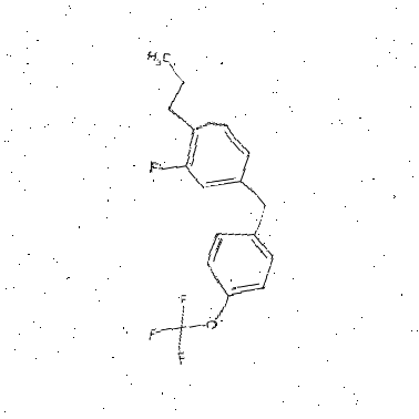 CCCc1ccc(Cc2ccc(OC(F)(F)F)cc2)cc1F